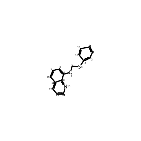 c1ccc(SCOc2cccc3cccnc23)cc1